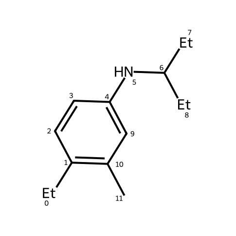 CCc1ccc(NC(CC)CC)cc1C